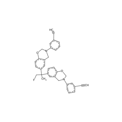 C#Cc1cccc(N2COc3ccc(C(C)(CF)c4ccc5c(c4)CN(c4cccc(C#C)c4)CO5)cc3C2)c1